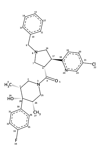 C[C@@H]1CN(C(=O)[C@@H]2CN(Cc3ccccc3)C[C@H]2c2ccc(Cl)cn2)C[C@H](C)[C@@]1(O)c1ccc(F)cc1